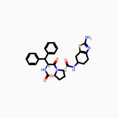 Nc1nc2c(s1)CC(NC(=O)[C@@H]1CCCN1C(=O)[C@@H](NC(=O)O)C(c1ccccc1)c1ccccc1)CC2